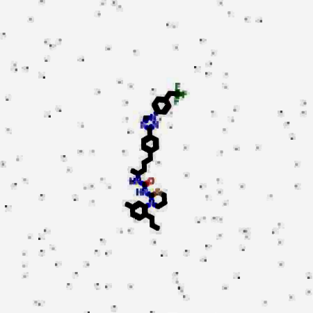 CCCc1ccc(C)cc1N1CCCSC1NC(=O)NC(C)CCCc1ccc(-c2ncn(-c3ccc(CC(F)(F)F)cc3)n2)cc1